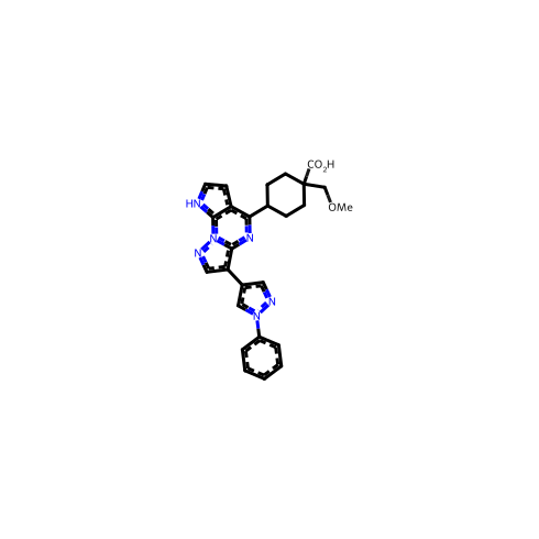 COCC1(C(=O)O)CCC(c2nc3c(-c4cnn(-c5ccccc5)c4)cnn3c3[nH]ccc23)CC1